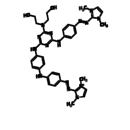 Cn1cc[n+](C)c1/N=N/c1ccc(Nc2ccc(Nc3nc(Nc4ccc(/N=N/c5n(C)cc[n+]5C)cc4)nc(N(CCO)CCO)n3)cc2)cc1